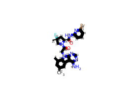 Cc1cc(C(F)(F)F)cc2c3c(N)ncnc3n(CC(=O)N3C[C@](C)(F)C[C@H]3C(=O)Nc3cccc(Br)n3)c12